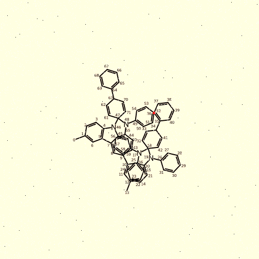 Cc1ccc2c(c1)c1cc3c4cc(C)ccc4n(C4(N(c5ccccc5)c5ccccc5)C=CC(c5ccccc5)C=C4)c3cc1n2C1(N(c2ccccc2)c2ccccc2)C=CC(c2ccccc2)C=C1